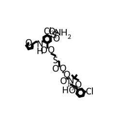 C[C@@H]1N(C(=O)OCOC(=O)CSCCOC(=O)c2cc(S(N)(=O)=O)c(Cl)cc2NCc2ccco2)C(C)(C)CO[C@@]1(O)c1cccc(Cl)c1